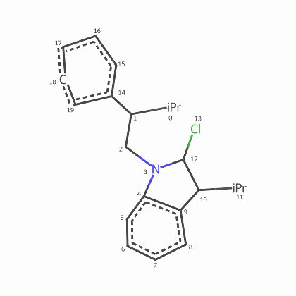 CC(C)C(CN1c2ccccc2C(C(C)C)C1Cl)c1ccccc1